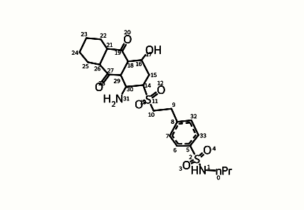 CCCNS(=O)(=O)c1ccc(CCS(=O)(=O)C2CC(O)C3C(=O)C4CCCCC4C(=O)C3C2N)cc1